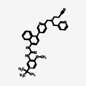 COc1ccc(C(C)(C)C)cc1NC(=O)Nc1ccc(-c2ccc(CN(CCC#N)Cc3cccnc3)nc2)c2ccccc12